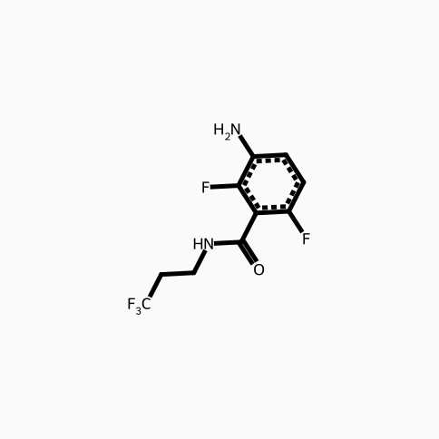 Nc1ccc(F)c(C(=O)NCCC(F)(F)F)c1F